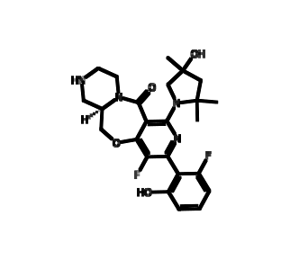 CC1(O)CN(c2nc(-c3c(O)cccc3F)c(F)c3c2C(=O)N2CCNC[C@@H]2CO3)C(C)(C)C1